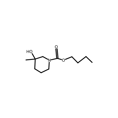 CCCCOC(=O)N1CCCC(C)(O)C1